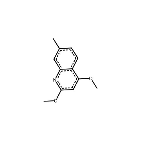 COc1cc(OC)c2ccc(C)cc2n1